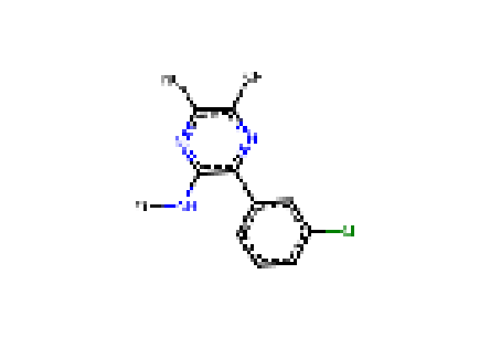 CCNc1nc(C#N)c(C#N)nc1-c1cccc(Cl)c1